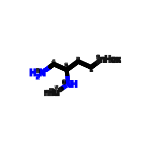 CCCCCCCCC(CN)NCCCC